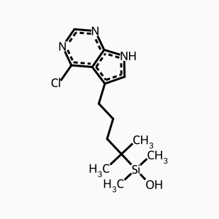 CC(C)(CCCc1c[nH]c2ncnc(Cl)c12)[Si](C)(C)O